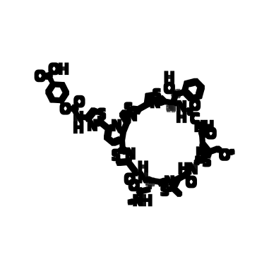 CNC(=O)C[C@@H]1NC(=O)c2csc(n2)-c2ccc(-c3nc(NC(=O)O[C@H]4CC[C@H](C(=O)O)CC4)cs3)nc2-c2csc(n2)-c2csc(n2)[C@H]([C@@H](O)c2ccccc2)NC(=O)CNC(=O)c2nc(sc2COC)NC(=O)c2nc1sc2C